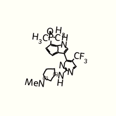 CN[C@@H]1CCC[C@H](Nc2ncc(C(F)(F)F)c(-c3c[nH]c4c(P(C)(C)=O)cccc34)n2)C1